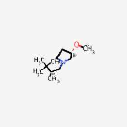 CO[C@H]1CCN(C[C@@H](C)C(C)(C)C)C1